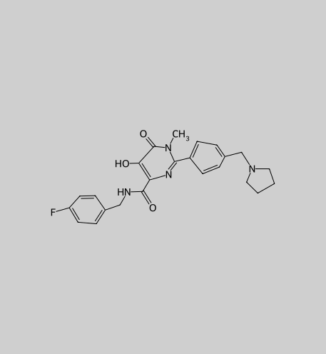 Cn1c(-c2ccc(CN3CCCC3)cc2)nc(C(=O)NCc2ccc(F)cc2)c(O)c1=O